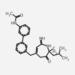 CC(=O)Nc1cccc(-c2cccc(CC3=CC(=N)NC(C)(CC(C)C)C(=O)C3)c2)c1